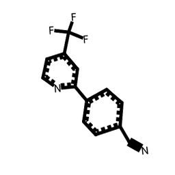 N#Cc1ccc(-c2cc(C(F)(F)F)ccn2)cc1